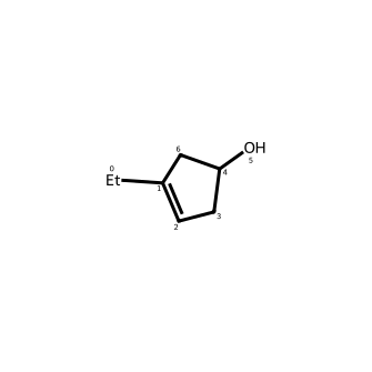 CCC1=CCC(O)C1